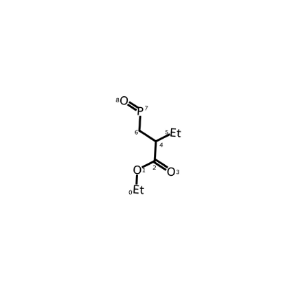 CCOC(=O)C(CC)CP=O